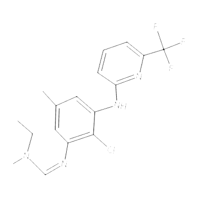 CCN(C)/C=N\c1cc(C)cc(Nc2cccc(C(F)(F)F)n2)c1Cl